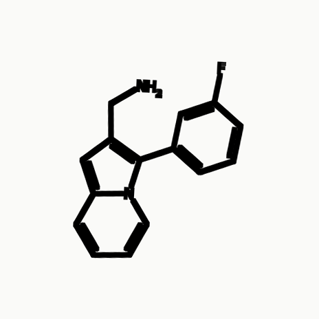 NCc1cc2ccccn2c1-c1cccc(F)c1